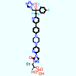 CC[C@@H]([C@H](C)OP(=O)(O)O)n1ncn(-c2ccc(N3CCN(c4ccc(-c5ccc(C(F)(F)[C@](O)(Cn6cnnn6)c6ccc(F)cc6F)nc5)cc4)CC3)cn2)c1=O